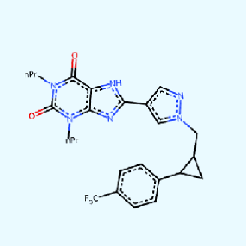 CCCn1c(=O)c2[nH]c(-c3cnn(CC4CC4c4ccc(C(F)(F)F)cc4)c3)nc2n(CCC)c1=O